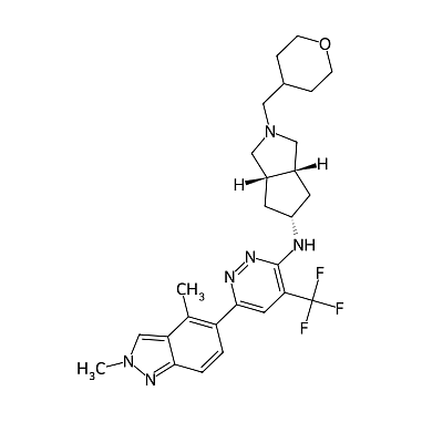 Cc1c(-c2cc(C(F)(F)F)c(N[C@@H]3C[C@@H]4CN(CC5CCOCC5)C[C@@H]4C3)nn2)ccc2nn(C)cc12